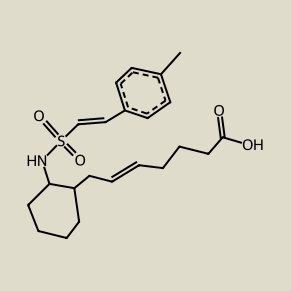 Cc1ccc(C=CS(=O)(=O)NC2CCCCC2CC=CCCCC(=O)O)cc1